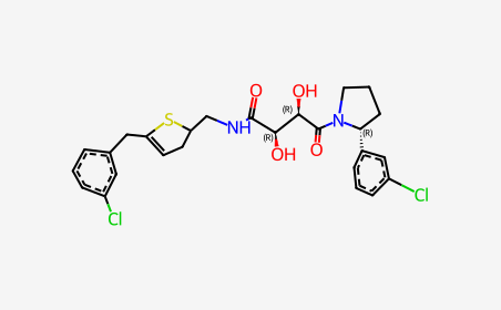 O=C(NCC1CC=C(Cc2cccc(Cl)c2)S1)[C@H](O)[C@@H](O)C(=O)N1CCC[C@@H]1c1cccc(Cl)c1